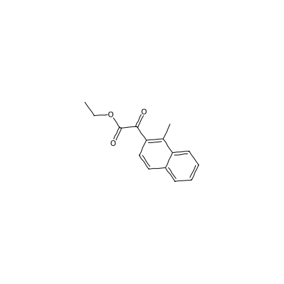 CCOC(=O)C(=O)c1ccc2ccccc2c1C